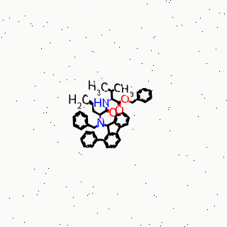 C=CCC(C(=O)N[C@@H](C(=O)OCc1ccccc1)C(C)C)N(Cc1ccccc1)C1c2ccccc2-c2cccc(-c3ccccc3)c21